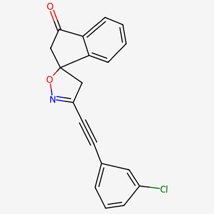 O=C1CC2(CC(C#Cc3cccc(Cl)c3)=NO2)c2ccccc21